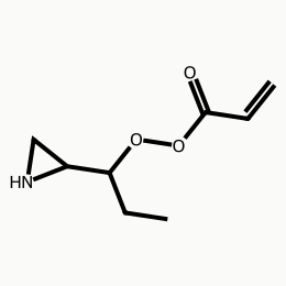 C=CC(=O)OOC(CC)C1CN1